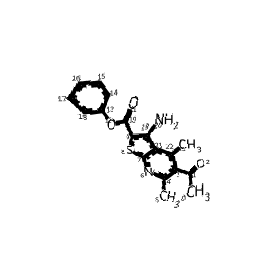 CC(=O)c1c(C)nc2sc(C(=O)Oc3ccccc3)c(N)c2c1C